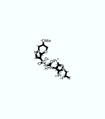 COC1COc2c(S(=O)(=O)NC(=O)Nc3c(C(C)C)nn(CC(F)F)c3C(C)C)cnn2C1